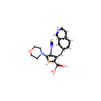 [C-]#[N+]c1c(N2CCOCC2)sc(C(=O)O)c1Cc1ccc2ccncc2c1